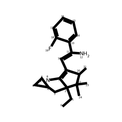 CCC1(CC2CC2)C(N)=C(/C=C(\N)c2ccccc2F)C(C)C1(C)C